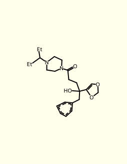 CCC(CC)N1CCN(C(=O)CCC(O)(Cc2ccccc2)C2=COCO2)CC1